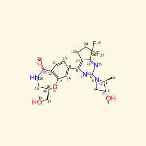 C[C@H]1[C@H](O)CN1c1nc(-c2ccc3c(c2)O[C@@H](CO)CNC3=O)c2c(n1)C(F)(F)CC2